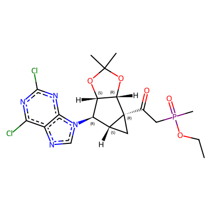 CCOP(C)(=O)CC(=O)[C@]12C[C@@H]1[C@@H](n1cnc3c(Cl)nc(Cl)nc31)[C@@H]1OC(C)(C)O[C@@H]12